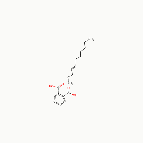 CCCC=CCCCCCC.O=C(O)c1ccccc1C(=O)O